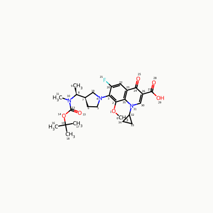 COc1c(N2CC[C@@H]([C@H](C)N(C)C(=O)OC(C)(C)C)C2)c(F)cc2c(=O)c(C(=O)O)cn(C3CC3)c12